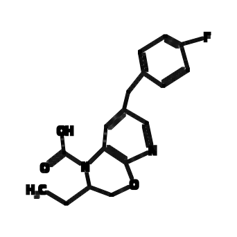 CCC1COc2ncc(Cc3ccc(F)cc3)cc2N1C(=O)O